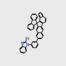 CCc1nc2ccccc2n1-c1cccc(-c2ccc3cc4c(cc3c2)C2(c3ccccc3-c3ccccc32)c2c-4ccc3ccccc23)c1